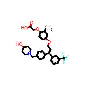 Cc1cc(OC/C=C(\c2ccc(CN3CCC(O)CC3)cc2)c2cccc(C(F)(F)F)c2)ccc1OCC(=O)O